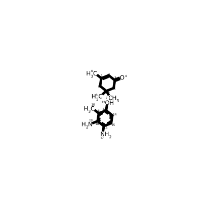 CC1=CC(=O)CC(C)(C)C1.Cc1c(O)ccc(N)c1N